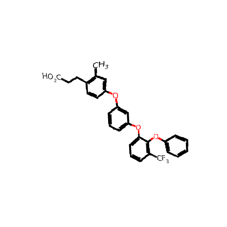 Cc1cc(Oc2cccc(Oc3cccc(C(F)(F)F)c3Oc3ccccc3)c2)ccc1CCC(=O)O